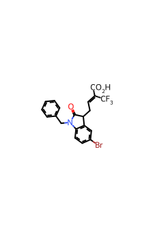 O=C(O)/C(=C/CC1C(=O)N(Cc2ccccc2)c2ccc(Br)cc21)C(F)(F)F